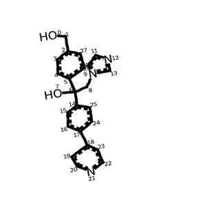 OCc1ccc(C(O)(Cn2ccnc2)c2ccc(-c3ccncc3)cc2)cc1